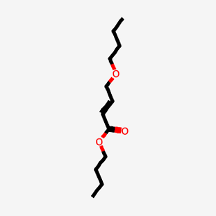 CCCCOC/C=C/C(=O)OCCCC